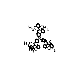 Cc1ccccc1C(=Cc1ccc(N(c2ccc(C=C(c3ccccc3C)c3ccccc3C)cc2)c2ccc(C=C(c3ccccc3C)c3ccccc3C)cc2)cc1)c1ccccc1C